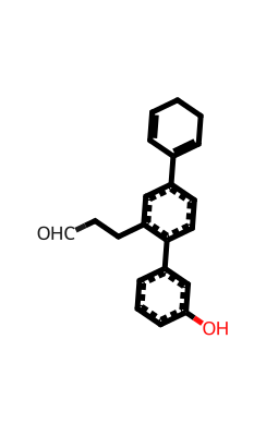 O=CCCc1cc(C2=CCCC=C2)ccc1-c1cccc(O)c1